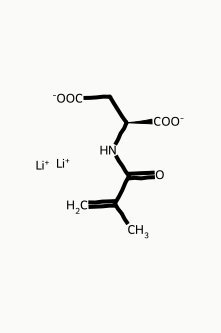 C=C(C)C(=O)N[C@@H](CC(=O)[O-])C(=O)[O-].[Li+].[Li+]